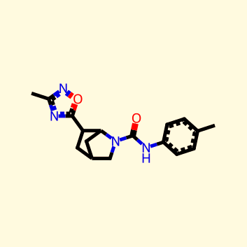 Cc1ccc(NC(=O)N2CC3CC(c4nc(C)no4)C2C3)cc1